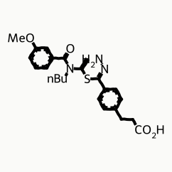 C=C(S/C(=N\N)c1ccc(CCC(=O)O)cc1)N(CCCC)C(=O)c1cccc(OC)c1